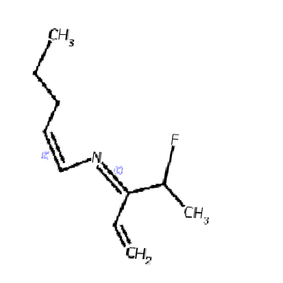 C=C/C(=N\C=C/CCC)C(C)F